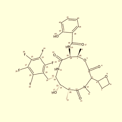 C[C@H]1OC(=O)C(C2CCO2)N(C)C(=O)[C@H](C)[C@H](O)[C@H](Cc2c(F)c(F)c(F)c(F)c2F)NC(=O)[C@H]1NC(=O)c1ccccc1O